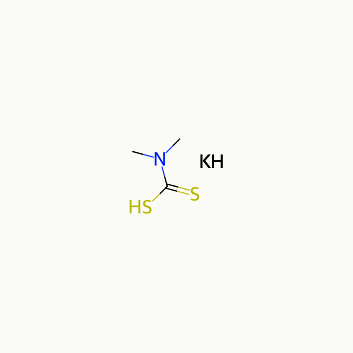 CN(C)C(=S)S.[KH]